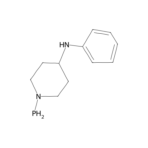 PN1CCC(Nc2ccccc2)CC1